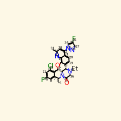 CCN1CCN([C@@H](C)c2cc(F)cc(Cl)c2COc2cccc3c(-n4cc(F)cn4)cc(C)nc23)C(=O)C1